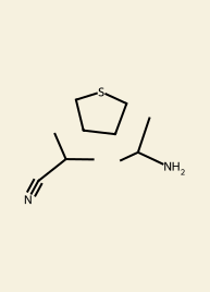 C1CCSC1.CC(C)C#N.CC(C)N